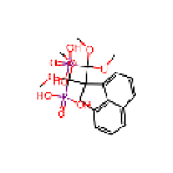 COC(OC)(C1(C(OC)(OC)P(=O)(O)O)Cc2cccc3cccc1c23)P(=O)(O)O